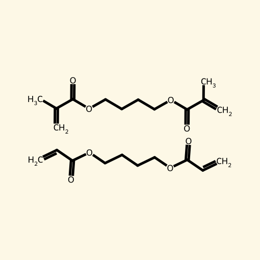 C=C(C)C(=O)OCCCCOC(=O)C(=C)C.C=CC(=O)OCCCCOC(=O)C=C